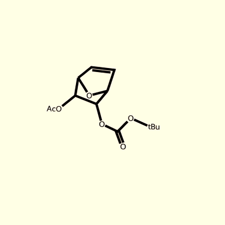 CC(=O)OC1C2C=CC(O2)C1OC(=O)OC(C)(C)C